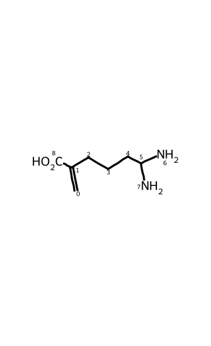 C=C(CCCC(N)N)C(=O)O